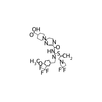 C=C(CN1CCC(F)(F)C1)S/C(=N\CCc1ccc(OC)c(C(F)(F)F)c1)NC(=O)C1=CN=C(N2CCC(C(=O)O)CC2)CC=N1